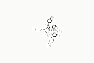 C=CC(=O)Nc1cc(Nc2nccc(-c3[nH]c(CCCO)nc3-c3ccc4ccoc4c3)n2)c(OC)cc1N1CCC(N(C)C)CC1